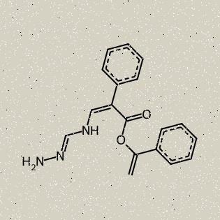 C=C(OC(=O)C(=CNC=NN)c1ccccc1)c1ccccc1